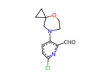 O=Cc1nc(Cl)ccc1N1CCOC2(CC2)C1